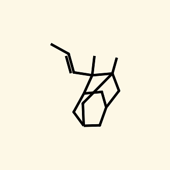 CC=CC1(C)C2CC3CC(C2)CC1(C)C3